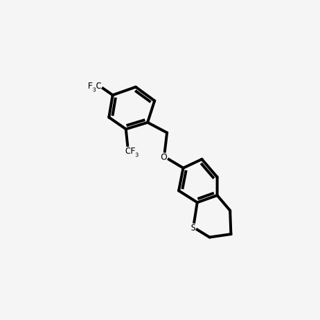 FC(F)(F)c1ccc(COc2ccc3c(c2)SCCC3)c(C(F)(F)F)c1